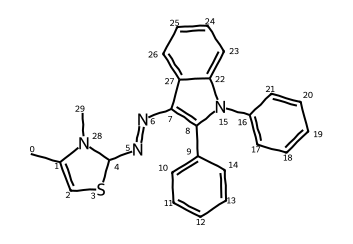 CC1=CSC(N=Nc2c(-c3ccccc3)n(-c3ccccc3)c3ccccc23)N1C